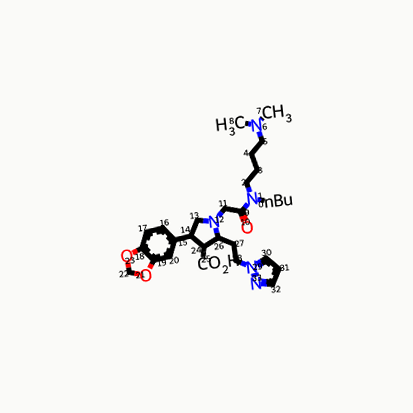 CCCCN(CCCCN(C)C)C(=O)CN1CC(c2ccc3c(c2)OCO3)C(C(=O)O)C1CCn1cccn1